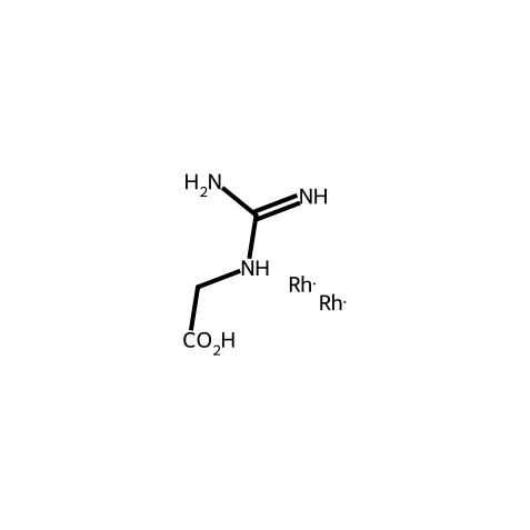 N=C(N)NCC(=O)O.[Rh].[Rh]